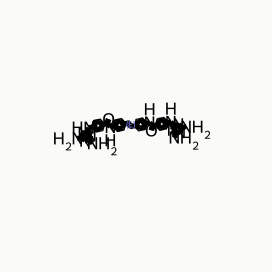 Nc1nc(N)nc(Nc2ccc(C(=O)Nc3ccc(/C=C/c4ccc(NC(=O)c5ccc(Nc6nc(N)nc(N)n6)cc5)cc4)cc3)cc2)n1